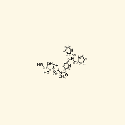 CN(CC(O)C(O)C(O)C(O)CO)C(=O)c1ccc(CN(Cc2ccccn2)Cc2ccccn2)nc1